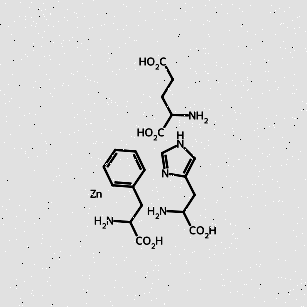 NC(CCC(=O)O)C(=O)O.NC(Cc1c[nH]cn1)C(=O)O.NC(Cc1ccccc1)C(=O)O.[Zn]